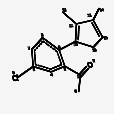 CC(=O)c1cc(Cl)ccc1C1=C(C)C(C)=CC1